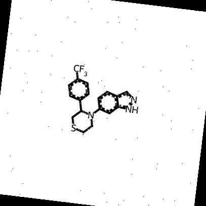 FC(F)(F)c1ccc(C2CS[CH]CN2c2ccc3cn[nH]c3c2)cc1